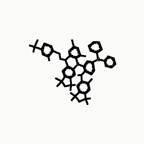 Cc1cc(C)c2c(c1)C(CCc1ccc(C(C)(C)C)cc1C)c1cc3c(cc1B2c1cc(N(c2ccccc2)c2ccccc2)ccc1C(C)c1cc2c(cc1C)C(C)(C)CC2(C)C)C(C)(C)CC3(C)C